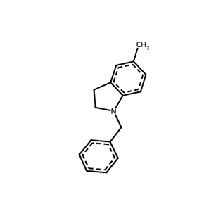 Cc1ccc2c(c1)CCN2Cc1ccccc1